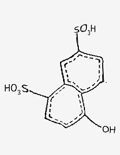 O=S(=O)(O)c1c[c]c2c(O)ccc(S(=O)(=O)O)c2c1